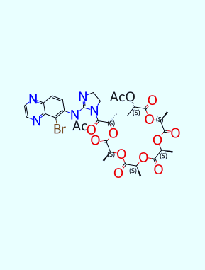 CC(=O)O[C@@H](C)C(=O)O[C@@H](C)C(=O)O[C@@H](C)C(=O)O[C@@H](C)C(=O)O[C@@H](C)C(=O)O[C@@H](C)C(=O)N1CCN=C1N(C(C)=O)c1ccc2nccnc2c1Br